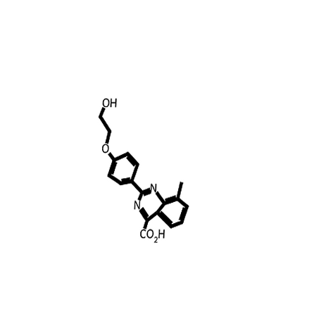 Cc1cccc2c(C(=O)O)nc(-c3ccc(OCCO)cc3)nc12